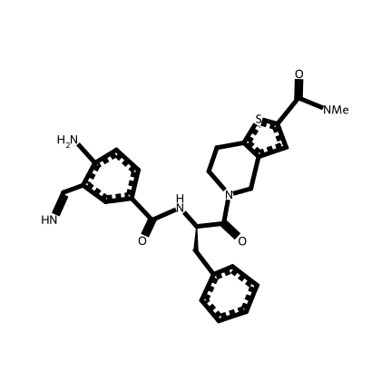 CNC(=O)c1cc2c(s1)CCN(C(=O)[C@@H](Cc1ccccc1)NC(=O)c1ccc(N)c(C=N)c1)C2